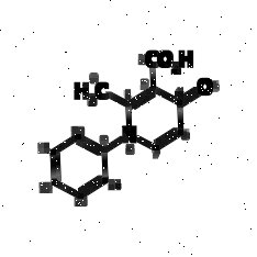 Cc1c(C(=O)O)c(=O)ccn1-c1ccccc1